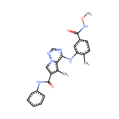 CONC(=O)c1ccc(C)c(Nc2ncnn3cc(C(=O)Nc4ccccc4)c(C)c23)c1